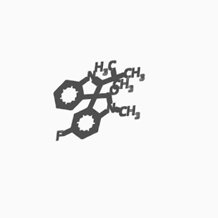 CN1C(=O)C2(C(C(C)(C)C)=Nc3ccccc32)c2cc(F)ccc21